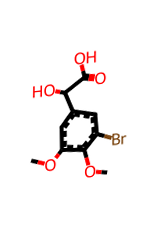 COc1cc(C(O)C(=O)O)cc(Br)c1OC